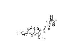 COc1ccc2sc(C=CCc3c[nH]cn3)c(C)c2c1